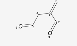 C=C([C]=O)CC=O